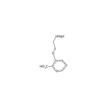 CCCCCCCCSOc1ccccc1C(=O)O